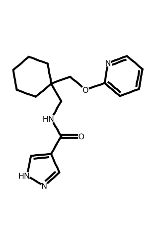 O=C(NCC1(COc2ccccn2)CCCCC1)c1cn[nH]c1